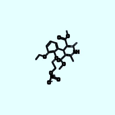 CCOc1cccc(C2C(C(=O)OC)=C(C)NC(C)=C2C(=O)OC)c1OCCO[N+](=O)[O-]